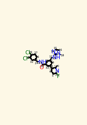 Cc1nc(F)ccc1-c1cc(CNc2nccn2C)cc(C(=O)NCc2ccc(Cl)c(Cl)c2)c1